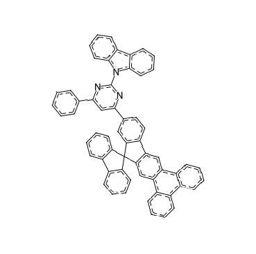 c1ccc(-c2cc(-c3ccc4c(c3)C3(c5ccccc5-c5ccccc53)c3cc5c6ccccc6c6ccccc6c5cc3-4)nc(-n3c4ccccc4c4ccccc43)n2)cc1